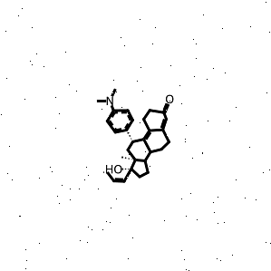 [CH2]/C=C\[C@]1(O)CCC2C3CCC4=CC(=O)CCC4=C3[C@@H](c3ccc(N(C)C)cc3)C[C@@]21C